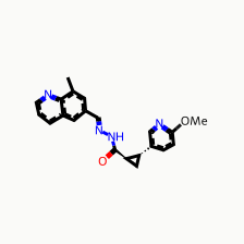 COc1ccc([C@@H]2C[C@H]2C(=O)NN=Cc2cc(C)c3ncccc3c2)cn1